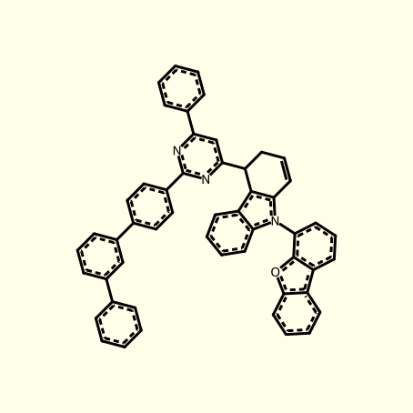 C1=Cc2c(c3ccccc3n2-c2cccc3c2oc2ccccc23)C(c2cc(-c3ccccc3)nc(-c3ccc(-c4cccc(-c5ccccc5)c4)cc3)n2)C1